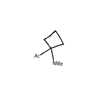 CNC1(C(C)=O)CCC1